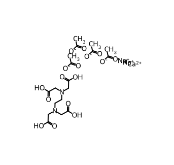 CC(=O)[O-].CC(=O)[O-].CC(=O)[O-].CC(=O)[O-].O=C(O)CN(CCN(CC(=O)O)CC(=O)O)CC(=O)O.[Ca+2].[Na+].[Na+]